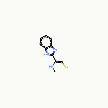 CN/C(=C\S)c1nc2ccccc2[nH]1